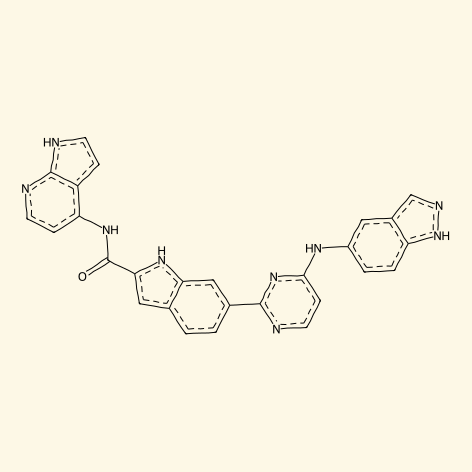 O=C(Nc1ccnc2[nH]ccc12)c1cc2ccc(-c3nccc(Nc4ccc5[nH]ncc5c4)n3)cc2[nH]1